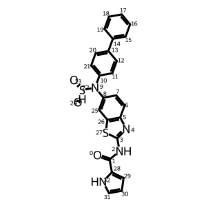 O=C(Nc1nc2ccc(N(c3ccc(-c4ccccc4)cc3)[SH](=O)=O)cc2s1)c1ccc[nH]1